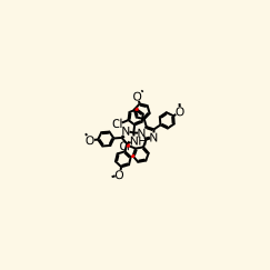 COc1ccc(C2=NC(c3ccccc3Cl)(n3c(-c4ccccc4Cl)nc(-c4ccc(OC)cc4)c3-c3ccc(OC)cc3)NC2c2ccc(OC)cc2)cc1